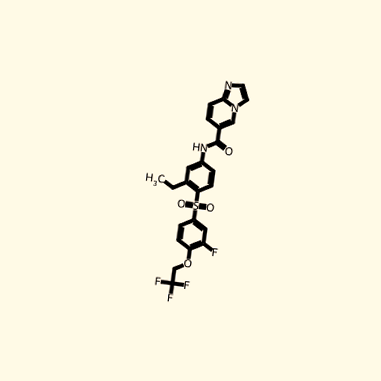 CCc1cc(NC(=O)c2ccc3nccn3c2)ccc1S(=O)(=O)c1ccc(OCC(F)(F)F)c(F)c1